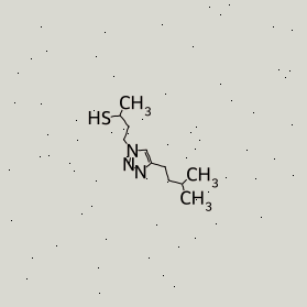 CC(C)CCc1cn(CCC(C)S)nn1